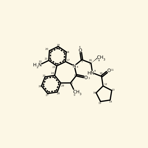 CC1C(=O)N(C(=O)[C@H](C)NC(=O)C2CCCC2)c2cccc(N)c2-c2ccccc21